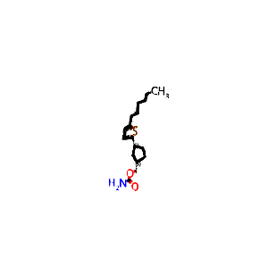 CCCCCCc1ccc([C@H]2CC[C@H](COC(N)=O)C2)s1